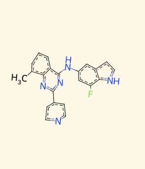 Cc1cccc2c(Nc3cc(F)c4[nH]ccc4c3)nc(-c3ccncc3)nc12